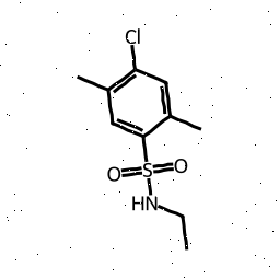 CCNS(=O)(=O)c1cc(C)c(Cl)cc1C